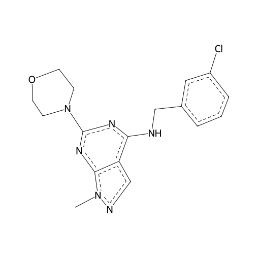 Cn1ncc2c(NCc3cccc(Cl)c3)nc(N3CCOCC3)nc21